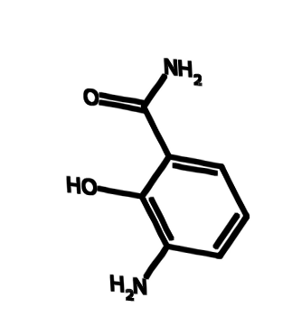 NC(=O)c1cccc(N)c1O